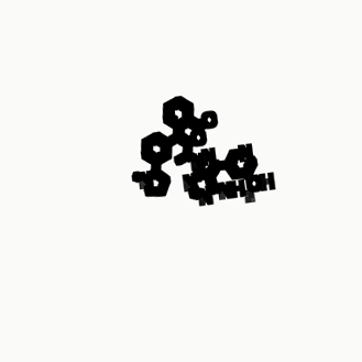 CC(c1oc(=O)c2ccccc2c1-c1cccc(C2CCCN2C)c1)n1nc(-c2cncc(O)c2)c2c(N)ncnc21